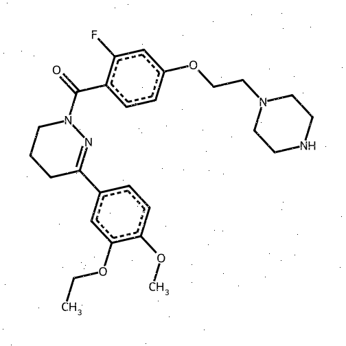 CCOc1cc(C2=NN(C(=O)c3ccc(OCCN4CCNCC4)cc3F)CCC2)ccc1OC